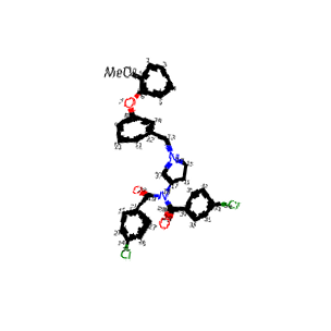 COc1ccccc1Oc1cccc(CN2CC[C@@H](N(C(=O)c3ccc(Cl)cc3)C(=O)c3ccc(Cl)cc3)C2)c1